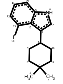 CC1(C)CCC(c2c[nH]c3cccc(F)c23)CC1